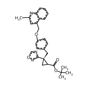 Cc1cc(COc2ccc(C[C@]3(c4ncon4)CC3C(=O)OC(C)(C)C)cc2)c2ccccc2n1